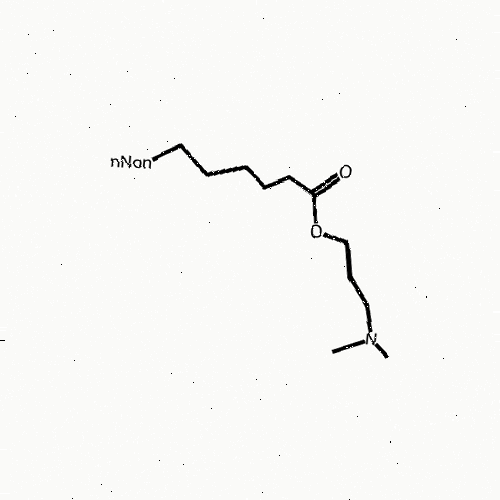 CCCCCCCCCCCCCCC(=O)OCCCN(C)C